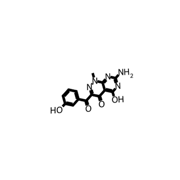 Cn1nc(C(=O)c2cccc(O)c2)c(=O)c2c(O)nc(N)nc21